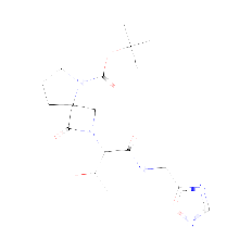 CC(O)C(C(=O)NCc1ncno1)N1CC2(CCCN2C(=O)OC(C)(C)C)C1=O